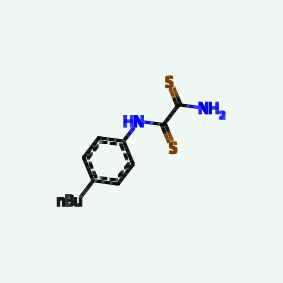 CCCCc1ccc(NC(=S)C(N)=S)cc1